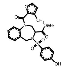 COC(=O)C1CN(C(=O)c2occc2C)c2ccccc2CN1S(=O)(=O)c1ccc(O)cc1